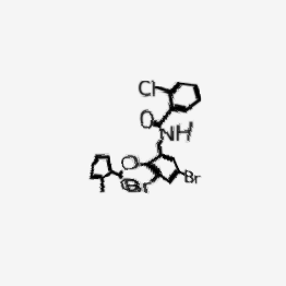 Cc1ccccc1C(=O)Oc1c(Br)cc(Br)cc1CNC(=O)c1ccccc1Cl